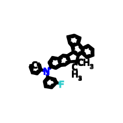 CC1(C)c2cc3cc(N(c4ccccc4)c4cccc(F)c4)ccc3cc2-c2c1c1ccccc1c1ccccc21